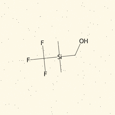 C[Si](C)(CO)C(F)(F)F